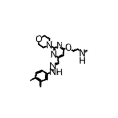 CNCCOc1cc(/C=N/Nc2ccc(C)c(C)c2)nc(N2CCOCC2)n1